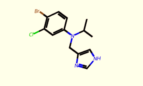 CC(C)N(Cc1c[nH]cn1)c1ccc(Br)c(Cl)c1